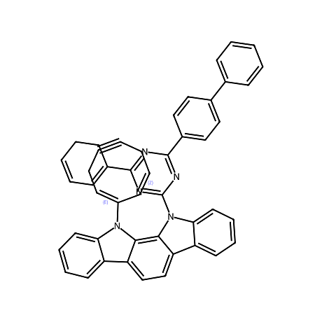 C1#CC/C=C(n2c3ccccc3c3ccc4c5ccccc5n(-c5nc(C6=CC=CCC6)nc(-c6ccc(-c7ccccc7)cc6)n5)c4c32)\C=C/C1